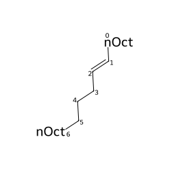 CCCCCCCCC=CCCCCCCCCCCC